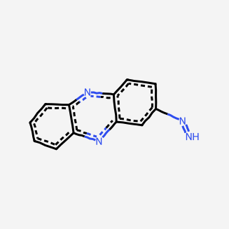 N=Nc1ccc2nc3ccccc3nc2c1